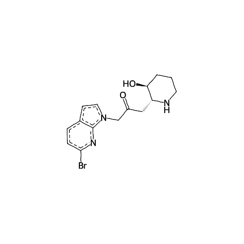 O=C(C[C@H]1NCCC[C@@H]1O)Cn1ccc2ccc(Br)nc21